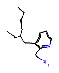 CCCCC(CC)Cc1cccnc1CN